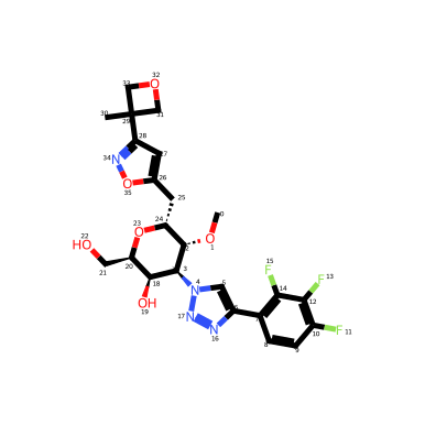 CO[C@@H]1[C@@H](n2cc(-c3ccc(F)c(F)c3F)nn2)[C@@H](O)[C@@H](CO)O[C@@H]1Cc1cc(C2(C)COC2)no1